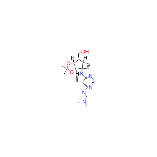 CN(C)/C=N/c1ncnc2c1ccn2[C@]12C#C[C@H]1[C@H](CO)[C@H]1OC(C)(C)O[C@H]12